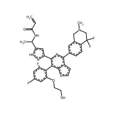 C=CC(=O)NC(C)c1cc(-c2nc(-c3ccc4c(c3)CN(C)CC4(F)F)c3ccsc3c2-c2c(F)cc(F)cc2OCCO)n[nH]1